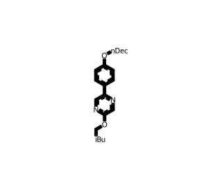 CCCCCCCCCCOc1ccc(-c2cnc(OCC(C)CC)cn2)cc1